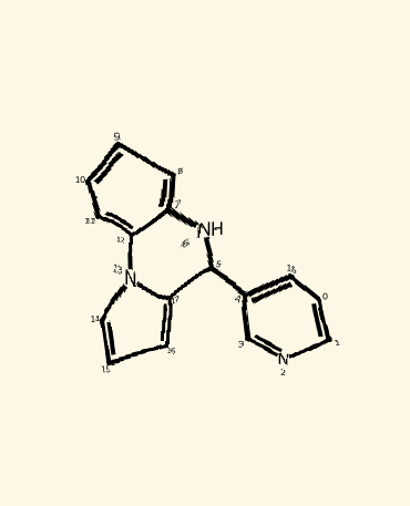 c1cncc(C2Nc3ccccc3-n3cccc32)c1